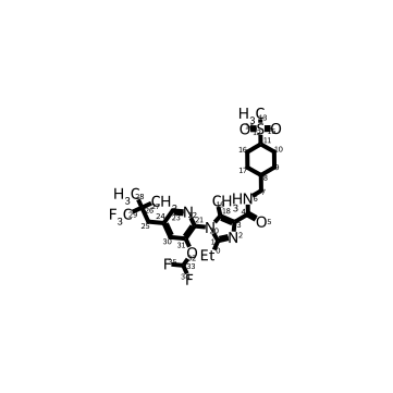 CCc1nc(C(=O)NCC2CCC(S(C)(=O)=O)CC2)c(C)n1-c1ncc(CC(C)(C)C(F)(F)F)cc1OC(F)F